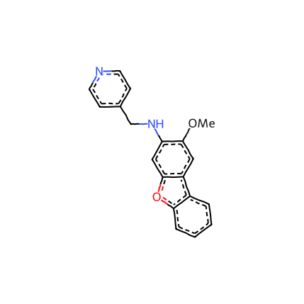 COc1cc2c(cc1NCc1ccncc1)oc1ccccc12